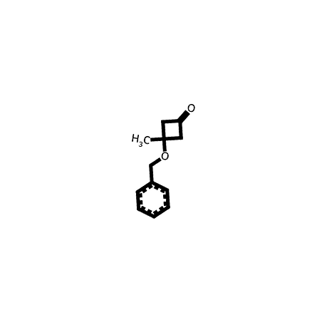 CC1(OCc2ccccc2)CC(=O)C1